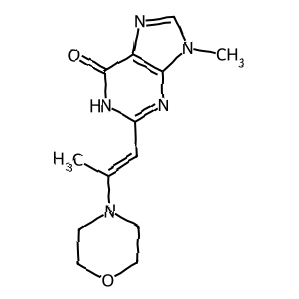 C/C(=C\c1nc2c(ncn2C)c(=O)[nH]1)N1CCOCC1